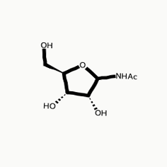 CC(=O)NC1O[C@H](CO)[C@@H](O)[C@H]1O